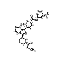 CCC(=O)N1CCCC(c2nc(C3=C(F)C=C(C(=O)Nc4cc(C(F)F)ccn4)CC3)c3c(N)nccn23)C1